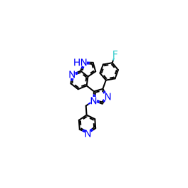 Fc1ccc(-c2ncn(Cc3ccncc3)c2-c2ccnc3[nH]ccc23)cc1